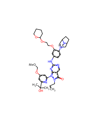 C=CCn1c(=O)c2cnc(Nc3ccc(N4CC5CCC(C4)N5C)c(OCCOC4CCCCO4)c3)nc2n1-c1cc(OCOC)cc(C(C)(C)O)n1